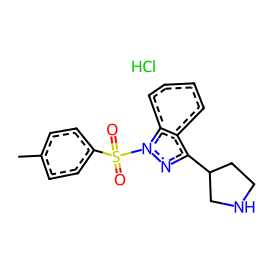 Cc1ccc(S(=O)(=O)n2nc(C3CCNC3)c3ccccc32)cc1.Cl